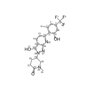 Cc1cc(C(F)(F)F)cc(O)c1-c1ccc2c(O)n(C3CCC(=O)N(C)C3)nc2n1